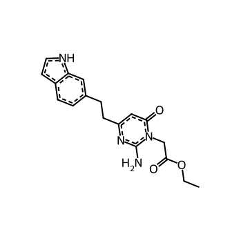 CCOC(=O)Cn1c(N)nc(CCc2ccc3cc[nH]c3c2)cc1=O